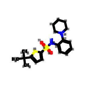 CC(C)(C)c1ccc(S(=O)(=O)Nc2ccccc2N2CCCCC2)s1